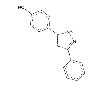 Oc1ccc(C2NN=C(c3ccccc3)S2)cc1